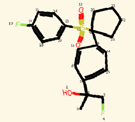 CC(O)(CF)c1ccc(C2(S(=O)(=O)c3ccc(F)cc3)CCCC2)cc1